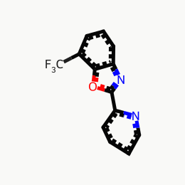 FC(F)(F)c1cccc2nc(-c3ccccn3)oc12